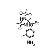 CCN(c1ccc(N)c(C)c1)C(C)(NS(C)(=O)=O)NS(C)(=O)=O